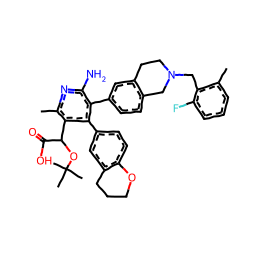 Cc1cccc(F)c1CN1CCc2cc(-c3c(N)nc(C)c(C(OC(C)(C)C)C(=O)O)c3-c3ccc4c(c3)CCCO4)ccc2C1